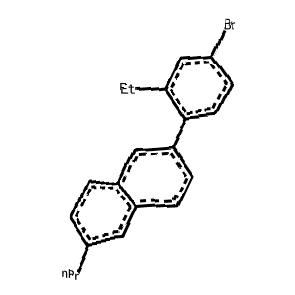 CCCc1ccc2cc(-c3ccc(Br)cc3CC)ccc2c1